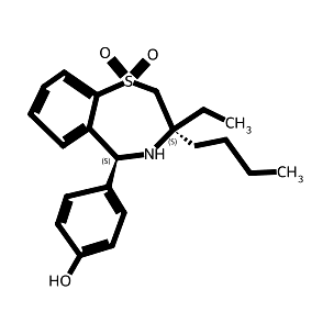 CCCC[C@@]1(CC)CS(=O)(=O)c2ccccc2[C@H](c2ccc(O)cc2)N1